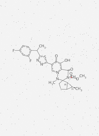 COC(=O)[C@]12C(CCC13N(C)C(=O)c1c(O)c(=O)c(-c4nnc(C(C)c5ccc(F)cc5F)s4)cn1N3C)[C@@H]2C